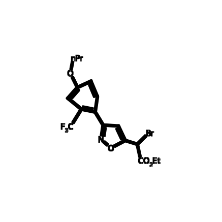 CCCOc1ccc(-c2cc(C(Br)C(=O)OCC)on2)c(C(F)(F)F)c1